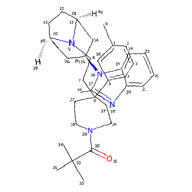 Cc1cccc(C2(CCN3[C@@H]4CC[C@H]3C[C@@H](n3c(C)nc5ccccc53)C4)CCN(C(=O)C(C)(C)C)CC2)c1